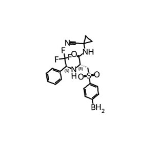 Bc1ccc(S(=O)(=O)C[C@H](N[C@@H](c2ccccc2)C(F)(F)F)C(=O)NC2(C#N)CC2)cc1